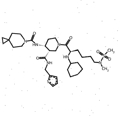 CN(CCCC[C@@H](NC1CCCCC1)C(=O)N1CC[C@@H](NC(=O)N2CCC3(CC2)CC3)[C@@H](C(=O)NCc2cccs2)C1)S(C)(=O)=O